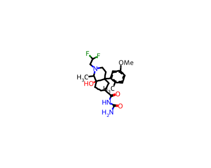 COc1ccc(C)c(C23CCN(CC(F)F)C(C)C2(O)CCC(C(=O)NC(N)=O)C3)c1